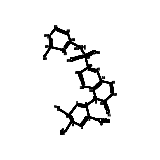 COc1cc(Br)c(F)cc1-n1c(=O)ccc2cc(S(=O)(=O)Nc3ccnc(C)n3)ccc21